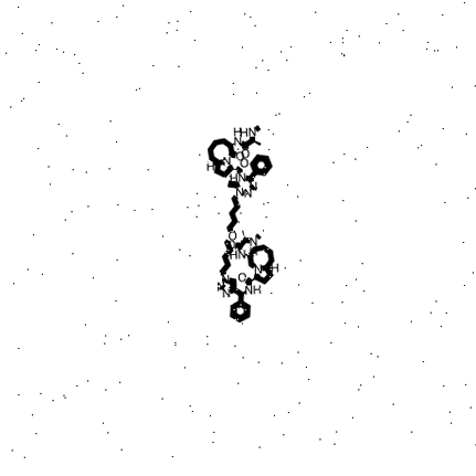 C=CN(CCCCCOCCCCCn1cc([C@@H](NC(=O)[C@@H]2CC[C@@H]3CCCC[C@H](NC(=O)[C@H](C)NC)CN32)c2ccccc2)nn1)/N=N\C(NC(=O)[C@@H]1CC[C@@H]2CCCC[C@H](NC(=O)[C@H](C)NC)C(=O)N21)c1ccccc1